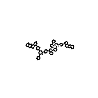 c1ccc(-c2nc(-c3ccc(-c4cnc(-c5cccc(-c6nc(-c7ccc(-c8cccc9c8ccc8cc%10ccccc%10cc89)cc7)cc(-c7ccccc7-c7cccnc7)n6)c5)c5ccccc45)cc3)cc(-c3ccc(-c4cccc5c4ccc4cc6ccccc6cc45)cc3)n2)cc1